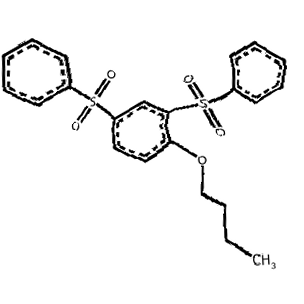 CCCCOc1ccc(S(=O)(=O)c2ccccc2)cc1S(=O)(=O)c1ccccc1